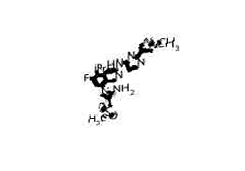 CC(C)c1c(F)cc(N2C[C@H](CS(C)(=O)=O)[C@H]2N)c2cnc(Nc3ccnc(-c4cnn(C)c4)n3)cc12